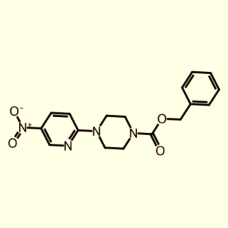 O=C(OCc1ccccc1)N1CCN(c2ccc([N+](=O)[O-])cn2)CC1